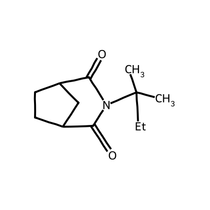 CCC(C)(C)N1C(=O)C2CCC(C2)C1=O